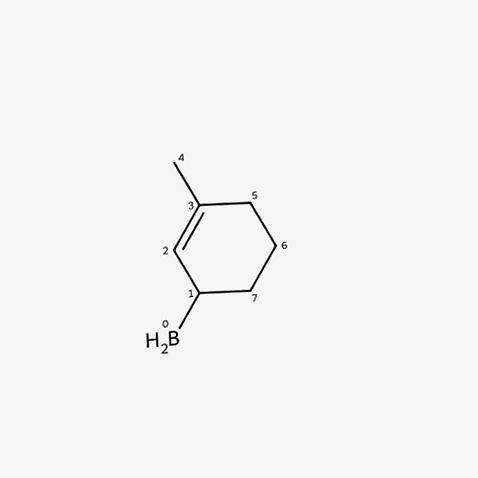 BC1C=C(C)CCC1